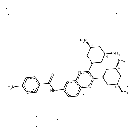 Nc1ccc(C(=O)Nc2ccc3nc(N4C[C@H](N)C[C@H](N)C4)c(N4C[C@H](N)C[C@H](N)C4)nc3c2)cc1